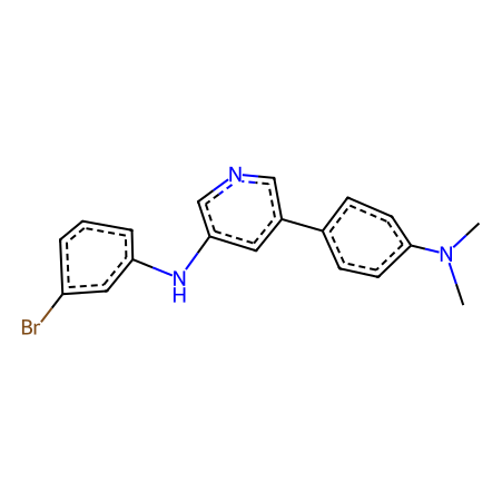 CN(C)c1ccc(-c2cncc(Nc3cccc(Br)c3)c2)cc1